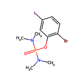 CN(C)P(=O)(Oc1cc(I)ccc1Br)N(C)C